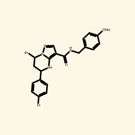 CCc1ccc(C2CC(C(C)C)n3ncc(C(=O)NCc4ccc(OC)cc4)c3N2)cc1